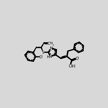 C=CC(Cc1ccccc1Cl)Sc1ncc(/C=C(\Cc2ccccc2)C(=O)O)[nH]1